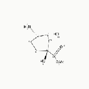 COC(=O)[C@]1(O)CC[C@H](N)CC1.Cl